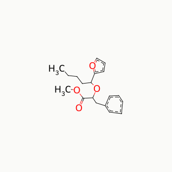 CCCCC(OC(Cc1ccccc1)C(=O)OC)c1ccco1